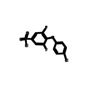 O=S(=O)(Cl)c1cc(F)c(Oc2ccc(Cl)cc2)c(F)c1